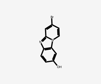 Oc1ccc2nc3cc(Br)ccn3c2c1